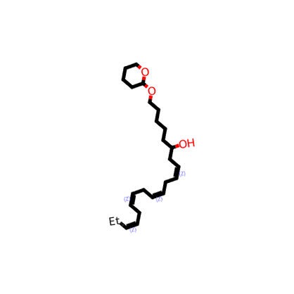 CC/C=C\C/C=C\C/C=C\C/C=C\CC(O)CCCCCOC1CCCCO1